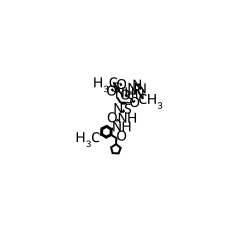 Cc1ccc(NC(=O)Nc2nc(CNS(C)(=O)=O)c(S(=O)(=O)c3nnnn3C)s2)c(C(=O)C2CCCC2)c1